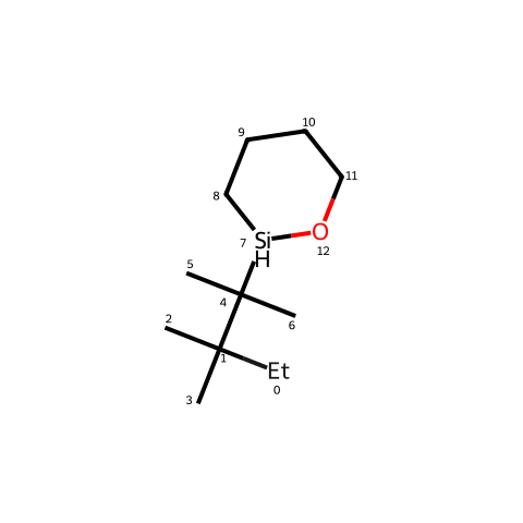 CCC(C)(C)C(C)(C)[SiH]1CCCCO1